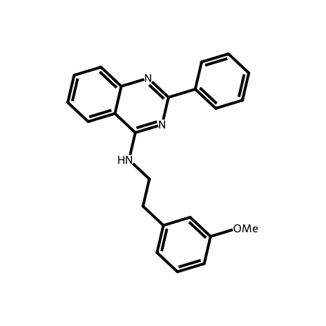 COc1cccc(CCNc2nc(-c3ccccc3)nc3ccccc23)c1